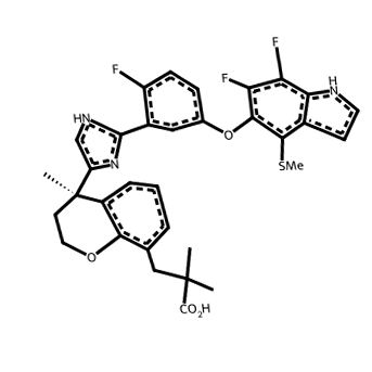 CSc1c(Oc2ccc(F)c(-c3nc([C@]4(C)CCOc5c(CC(C)(C)C(=O)O)cccc54)c[nH]3)c2)c(F)c(F)c2[nH]ccc12